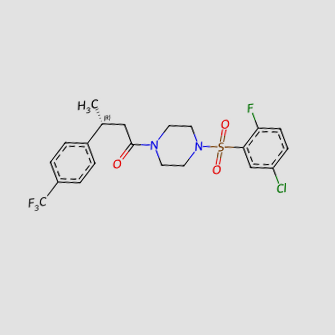 C[C@H](CC(=O)N1CCN(S(=O)(=O)c2cc(Cl)ccc2F)CC1)c1ccc(C(F)(F)F)cc1